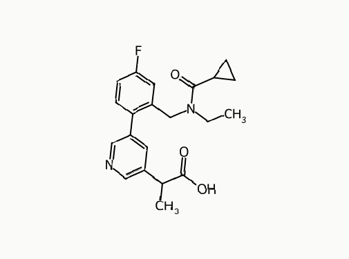 CCN(Cc1cc(F)ccc1-c1cncc(C(C)C(=O)O)c1)C(=O)C1CC1